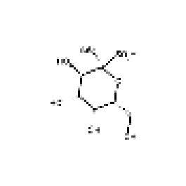 CC(C)CO[C@]1(S(=O)(=O)O)O[C@H](CO)[C@H](O)[C@H](O)[C@H]1O